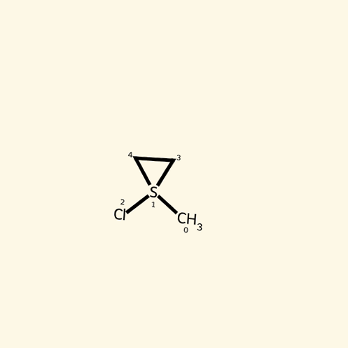 CS1(Cl)CC1